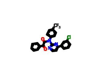 O=C(C(=O)N(c1ccc(C(F)(F)F)cc1)c1nccc(-c2cccc(Cl)c2)n1)c1ccccc1